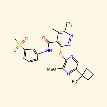 COc1nc(C2(C(F)(F)F)CCC2)cnc1Oc1nnc(C(F)(F)F)c(C)c1C(=O)Nc1cccc(S(C)(=O)=O)c1